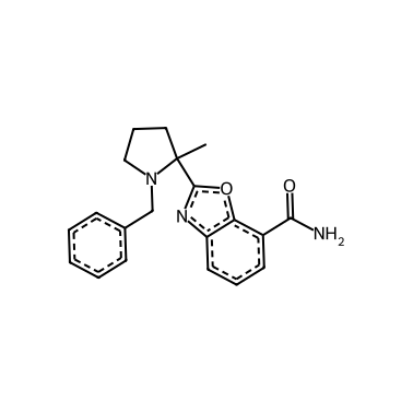 CC1(c2nc3cccc(C(N)=O)c3o2)CCCN1Cc1ccccc1